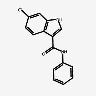 O=C(Nc1ccccc1)c1c[nH]c2cc(Cl)ccc12